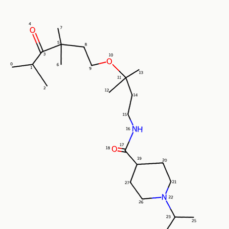 CC(C)C(=O)C(C)(C)CCOC(C)(C)CCNC(=O)C1CCN(C(C)C)CC1